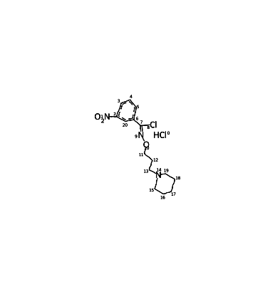 Cl.O=[N+]([O-])c1cccc(C(Cl)=NOCCCN2CCCCC2)c1